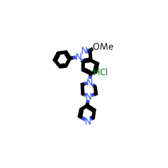 COc1nn(-c2ccccc2)c2cc(N3CCN(c4ccncc4)CC3)ccc12.Cl